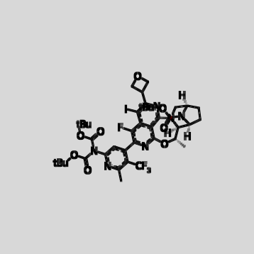 Cc1nc(N(C(=O)OC(C)(C)C)C(=O)OC(C)(C)C)cc(-c2nc3c4c(nc(C5COC5)c(I)c4c2F)N2C[C@H]4CC[C@@H]([C@H]2[C@H](C)O3)N4C(=O)OC(C)(C)C)c1C(F)(F)F